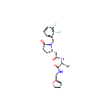 CC(C)C(NC(=O)C[C@@H]1CCC(=O)N1Cc1cccc(F)c1F)C(=O)NCc1ccco1